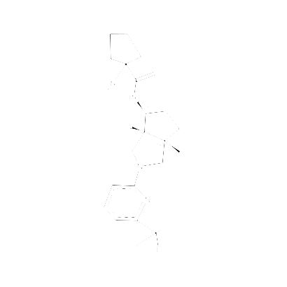 NC1(C(=O)N[C@H]2CC[C@@H]3CN(c4cccc(C(F)(F)F)n4)C[C@@H]32)CCCC1